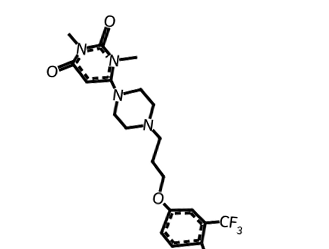 Cn1c(N2CCN(CCCOc3ccc(C#N)c(C(F)(F)F)c3)CC2)cc(=O)n(C)c1=O